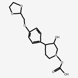 O=C(O)ON1CCC(c2ccc(OCC3OCCO3)cc2)C(O)C1